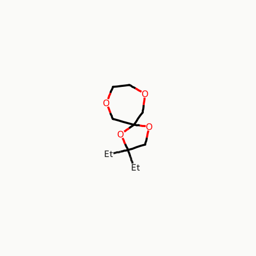 CCC1(CC)COC2(COCCOC2)O1